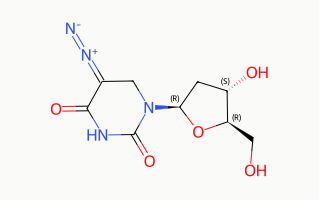 [N-]=[N+]=C1CN([C@H]2C[C@H](O)[C@@H](CO)O2)C(=O)NC1=O